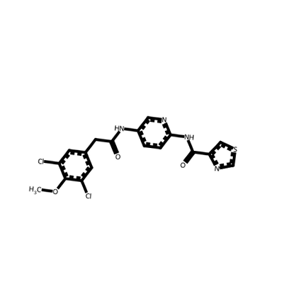 COc1c(Cl)cc(CC(=O)Nc2ccc(NC(=O)c3cscn3)nc2)cc1Cl